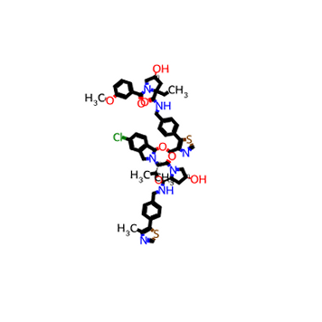 CCC1(C(=O)NCc2ccc(-c3scnc3COC3c4ccc(Cl)cc4CN3[C@H](C(=O)N3C[C@H](O)C[C@H]3C(=O)NCc3ccc(-c4scnc4C)cc3)C(C)C)cc2)C[C@@H](O)CN1C(=O)c1cccc(OC)c1